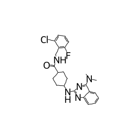 CN(C)c1nc(NC2CCC(C(=O)NCc3c(F)cccc3Cl)CC2)nc2ccccc12